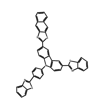 c1ccc2cc3sc(-c4ccc5c(c4)c4cc(-c6nc7ccccc7s6)ccc4n5-c4ccc(-c5nc6ccccc6s5)cc4)nc3cc2c1